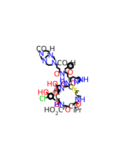 CC(C)C[C@@H]1CC(=O)[C@H](CC(=O)O)NC(=O)[C@H](Cc2ccc(O)c(Cl)c2)CC(=O)[C@@H]2C[C@@H](O)CN2C(=O)[C@@H](NC(=O)[C@@H](CC(=O)[C@H](Cc2ccccc2)NC(=O)CCC(C(=O)O)N2CCCN3CCN(CCCN(CC(=O)O)CC3)CC2)Cc2c[nH]cn2)CSSC[C@@H](C)NC1=O